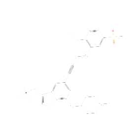 COc1ccc(S(C)(=O)=O)cc1NCC#Cc1cc(NC2CCN(C)CC2)c2scc(CC(F)(F)F)c2c1